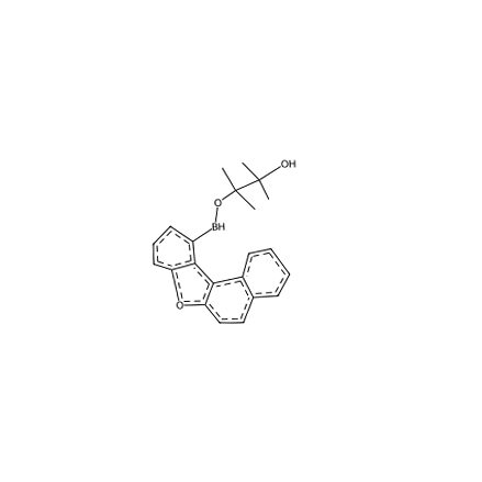 CC(C)(O)C(C)(C)OBc1cccc2oc3ccc4ccccc4c3c12